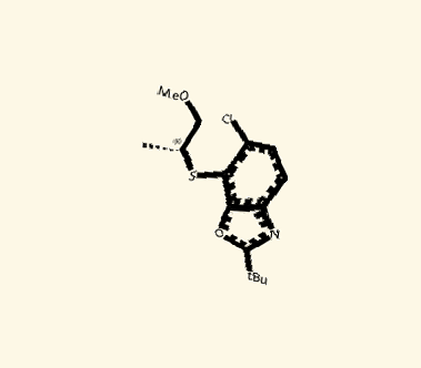 COC[C@@H](C)Sc1c(Cl)ccc2nc(C(C)(C)C)oc12